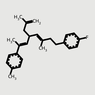 C=C(C)CC(/C=C(\C)CCc1ccc(F)cc1)/C=C(\C)c1ccc(C)cc1